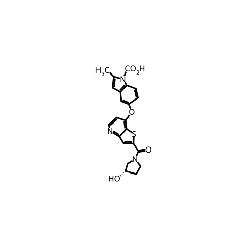 Cc1cc2cc(Oc3ccnc4cc(C(=O)N5CC[C@H](O)C5)sc34)ccc2n1C(=O)O